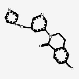 O=C1c2ccc(Cl)cc2CCN1c1cncc(Cn2ccnc2)c1